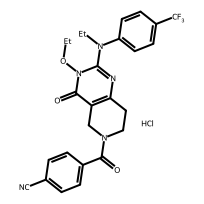 CCOn1c(N(CC)c2ccc(C(F)(F)F)cc2)nc2c(c1=O)CN(C(=O)c1ccc(C#N)cc1)CC2.Cl